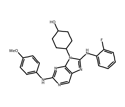 COc1ccc(Nc2ncc3nc(Nc4ccccc4F)n(C4CCC(O)CC4)c3n2)cc1